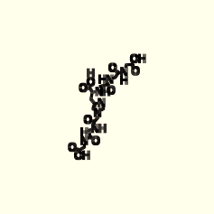 O=C(O)CNC(=O)CNC(=O)CNC(Cc1cn(CC(=O)NCC(=O)NCC(=O)O)cn1)C(=O)O